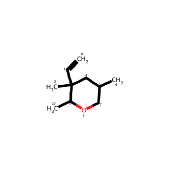 C=CC1(C)CC(C)COC1C